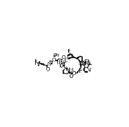 CCn1c(-c2cccnc2[C@H](C)OC)c2c3cc(ccc31)-c1cc(F)cc(c1)C[C@H](NC(=O)[C@@H](COC1CN(C(=O)C#CC(C)(C)N(C)C)C1)C(C)C)C(=O)N1CCC[C@H](N1)C(=O)OCC(C)(C)C2